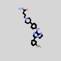 Cc1cccc(-c2cnc(Nc3ccc(C4CCN(CCCC(N)=O)CC4)cc3)c3nccn23)c1